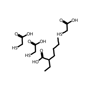 CCCCC(CC)C(=O)O.O=C(O)CS.O=C(O)CS.O=C(O)CS